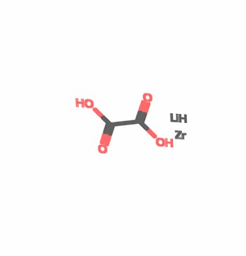 O=C(O)C(=O)O.[LiH].[Zr]